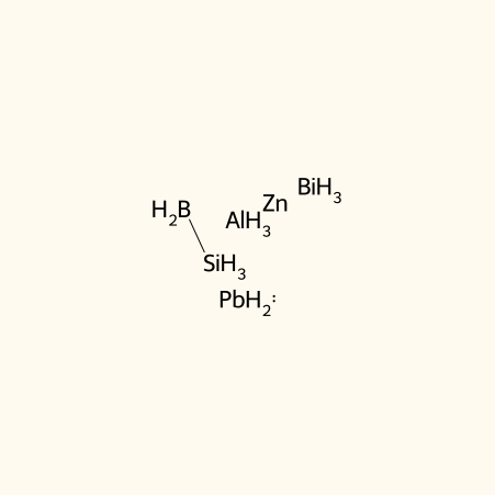 B[SiH3].[AlH3].[BiH3].[PbH2].[Zn]